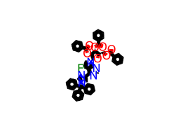 O=C(OC[C@H]1O[C@@H](n2cc(F)c3c(-c4cn(C(c5ccccc5)(c5ccccc5)c5ccccc5)cn4)ncnc32)[C@H](OC(=O)c2ccccc2)[C@@H]1OC(=O)c1ccccc1)c1ccccc1